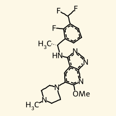 COc1nc2ncnc(N[C@H](C)c3cccc(C(F)F)c3F)c2cc1N1CCN(C)CC1